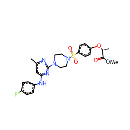 COC(=O)[C@@H](C)Oc1ccc(S(=O)(=O)N2CCN(c3nc(C)cc(Nc4ccc(F)cc4)n3)CC2)cc1